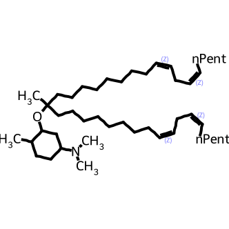 CCCCC/C=C\C/C=C\CCCCCCCCC(C)(CCCCCCCC/C=C\C/C=C\CCCCC)OC1CC(N(C)C)CCC1C